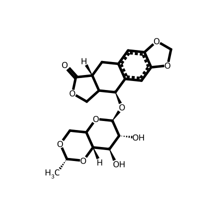 C[C@@H]1OCC2O[C@@H](O[C@@H]3c4cc5c(cc4C[C@H]4C(=O)OCC34)OCO5)[C@H](O)[C@@H](O)[C@@H]2O1